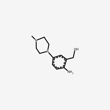 CN1CCN(c2ccc(N)c(CO)c2)CC1